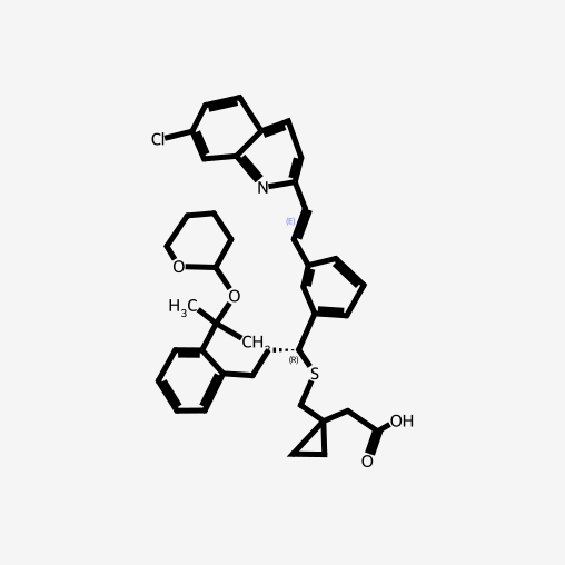 CC(C)(OC1CCCCO1)c1ccccc1CC[C@@H](SCC1(CC(=O)O)CC1)c1cccc(/C=C/c2ccc3ccc(Cl)cc3n2)c1